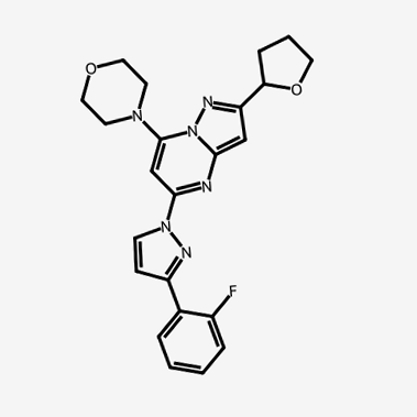 Fc1ccccc1-c1ccn(-c2cc(N3CCOCC3)n3nc(C4CCCO4)cc3n2)n1